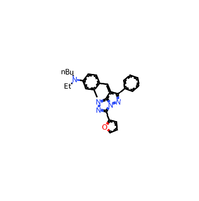 CCCCN(CC)c1ccc(/C=c2/c(-c3ccccc3)nn3c(-c4ccco4)nnc23)c(C)c1